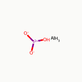 [AlH3].[O-][I+2]([O-])O